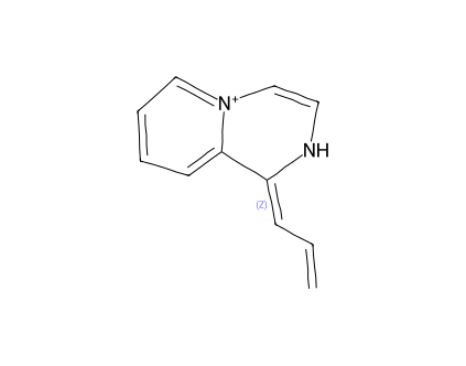 C=C/C=C1\NC=C[n+]2ccccc21